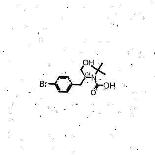 CC(C)(C)N(C(=O)O)[C@H](CO)Cc1ccc(Br)cc1